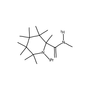 [2H]N(C)C(=C)C1(C)N(C(C)C)C(C)(C)C(C)(C)C(C)(C)C1(C)C